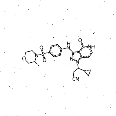 CC1COCCN1S(=O)(=O)c1ccc(Nc2nn(C(CC#N)C3CC3)c3cc[nH]c(=O)c23)cc1